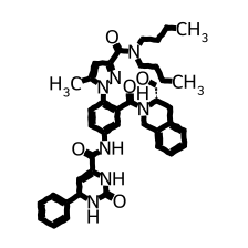 CCCCN(CCCC)C(=O)c1cc(C)n(-c2ccc(NC(=O)C3=CC(c4ccccc4)NC(=O)N3)cc2C(=O)N2Cc3ccccc3C[C@H]2CO)n1